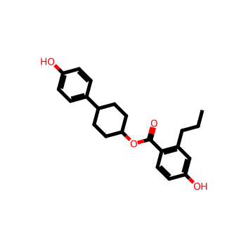 CCCc1cc(O)ccc1C(=O)OC1CCC(c2ccc(O)cc2)CC1